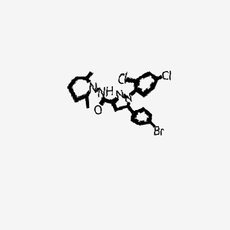 CC1CCCC(C)N1NC(=O)C1=NN(c2ccc(Cl)cc2Cl)C(c2ccc(Br)cc2)C1